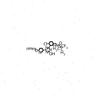 CCCCCCOc1ccc(-c2nc(O)nc(-c3cc(CNC(=O)C(C)(C)C(F)(F)F)ccc3Cl)n2)cn1